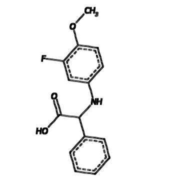 COc1ccc(NC(C(=O)O)c2ccccc2)cc1F